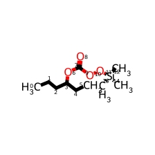 CCCC(CC)OC(=O)OO[Si](C)(C)C